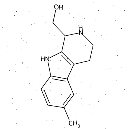 Cc1ccc2[nH]c3c(c2c1)CCNC3CO